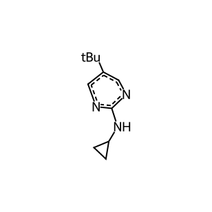 CC(C)(C)c1cnc(NC2CC2)nc1